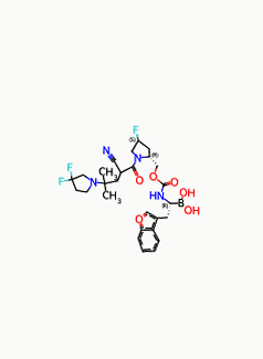 CC(C)(CC(C#N)C(=O)N1C[C@@H](F)C[C@@H]1COC(=O)N[C@@H](Cc1coc2ccccc12)B(O)O)N1CCC(F)(F)C1